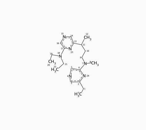 CCc1cncc(N(C)CCC(C)c2cncc(N(CC)CC)n2)n1